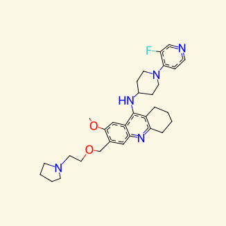 COc1cc2c(NC3CCN(c4ccncc4F)CC3)c3c(nc2cc1COCCN1CCCC1)CCCC3